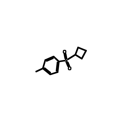 Cc1ccc(S(=O)(=O)C2CCC2)cc1